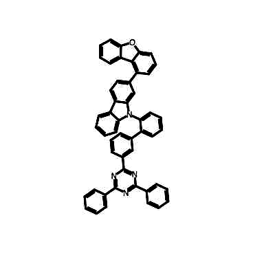 c1ccc(-c2nc(-c3ccccc3)nc(-c3cccc(-c4ccccc4-n4c5ccccc5c5ccc(-c6cccc7oc8ccccc8c67)cc54)c3)n2)cc1